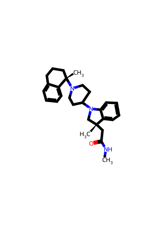 CNC(=O)C[C@]1(C)CN(C2CCN([C@@]3(C)CCCc4ccccc43)CC2)c2ccccc21